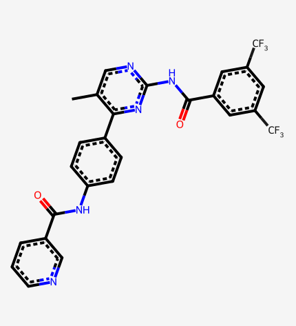 Cc1cnc(NC(=O)c2cc(C(F)(F)F)cc(C(F)(F)F)c2)nc1-c1ccc(NC(=O)c2cccnc2)cc1